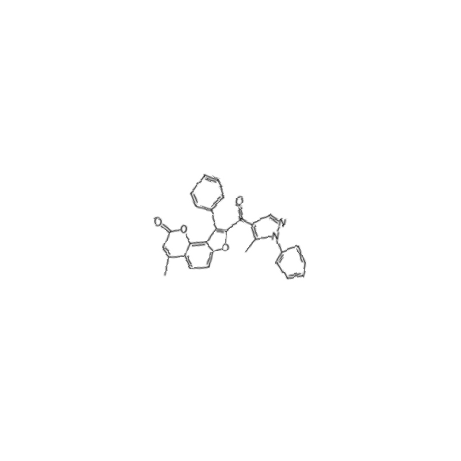 Cc1cc(=O)oc2c1ccc1oc(C(=O)c3cnn(-c4ccccc4)c3C)c(-c3ccccc3)c12